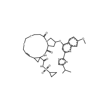 COc1ccc2c(OC3CC4C(=O)NC5(C(=O)NS(=O)(=O)C6CC6)CC5/C=C\CCCCCCC(=O)N4C3)cc(-c3nc(C(C)C)cs3)nc2c1